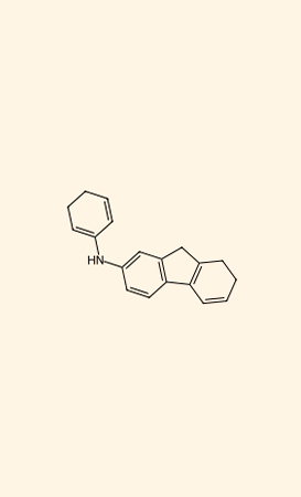 C1=CC(Nc2ccc3c(c2)CC2=C3C=CCC2)=CCC1